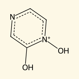 Oc1cncc[n+]1O